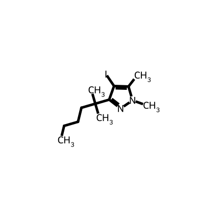 CCCCC(C)(C)c1nn(C)c(C)c1I